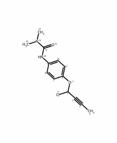 CC#CC(Cl)Oc1ccc(NC(=O)N(C)C)cc1